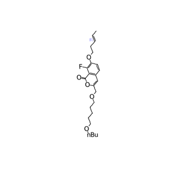 C/C=C/CCOc1ccc2cc(COCCCCCOCCCC)oc(=O)c2c1F